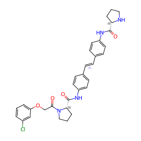 O=C(Nc1ccc(/C=C/c2ccc(NC(=O)[C@@H]3CCCN3C(=O)COc3cccc(Cl)c3)cc2)cc1)[C@@H]1CCCN1